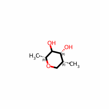 C[C@@H]1CO[C@H](C)C(O)[C@@H]1O